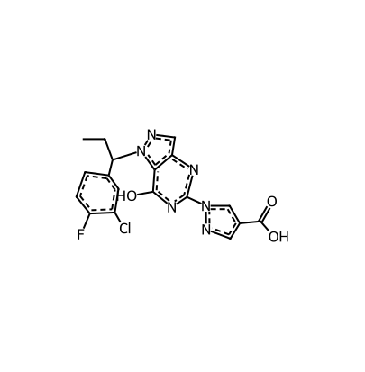 CCC(c1ccc(F)c(Cl)c1)n1ncc2nc(-n3cc(C(=O)O)cn3)nc(O)c21